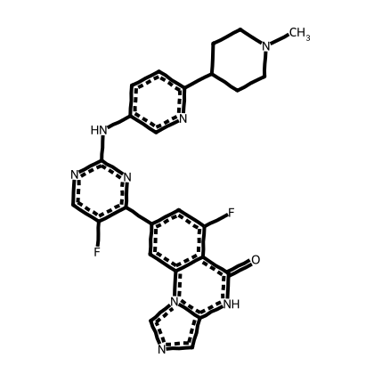 CN1CCC(c2ccc(Nc3ncc(F)c(-c4cc(F)c5c(=O)[nH]c6cncn6c5c4)n3)cn2)CC1